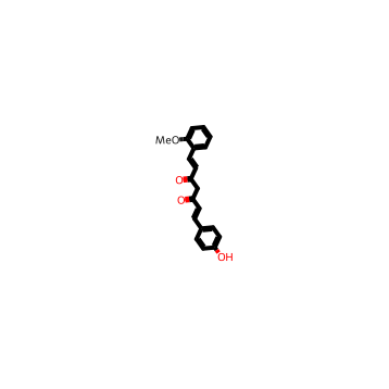 COc1ccccc1/C=C/C(=O)CC(=O)/C=C/c1ccc(O)cc1